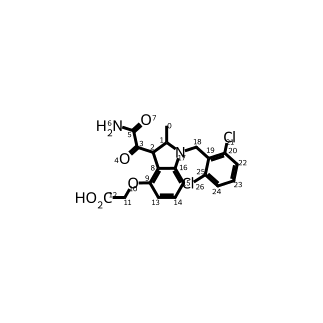 CC1C(C(=O)C(N)=O)c2c(OCC(=O)O)cccc2N1Cc1c(Cl)cccc1Cl